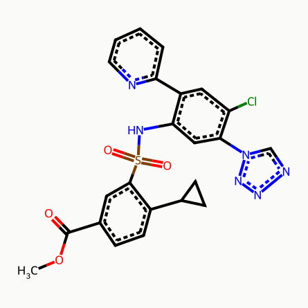 COC(=O)c1ccc(C2CC2)c(S(=O)(=O)Nc2cc(-n3cnnn3)c(Cl)cc2-c2ccccn2)c1